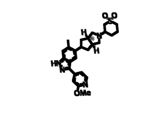 COc1cc(-c2n[nH]c3cc(C)c(C4C[C@@H]5CN(C6CCCS(=O)(=O)C6)C[C@@H]5C4)cc23)ccn1